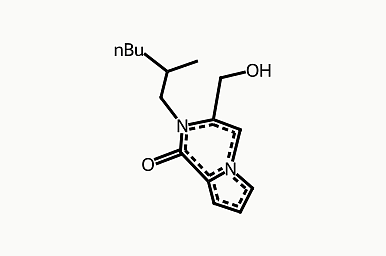 CCCCC(C)Cn1c(CO)cn2cccc2c1=O